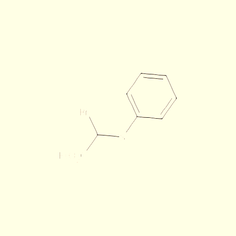 CCOC(=O)C(Br)Sc1ccccc1